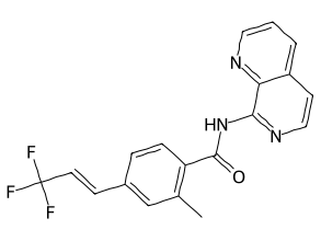 Cc1cc(C=CC(F)(F)F)ccc1C(=O)Nc1nccc2cccnc12